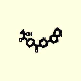 O=C(c1ccc(-c2ccc3ncccc3c2)nc1)N1CCN(C(=O)C2(O)CC2)CC1